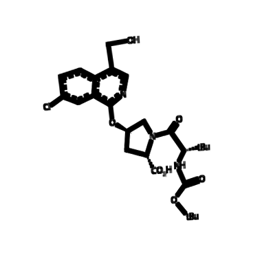 CC(C)(C)OC(=O)N[C@H](C(=O)N1C[C@H](Oc2ncc(CO)c3ccc(Cl)cc23)C[C@H]1C(=O)O)C(C)(C)C